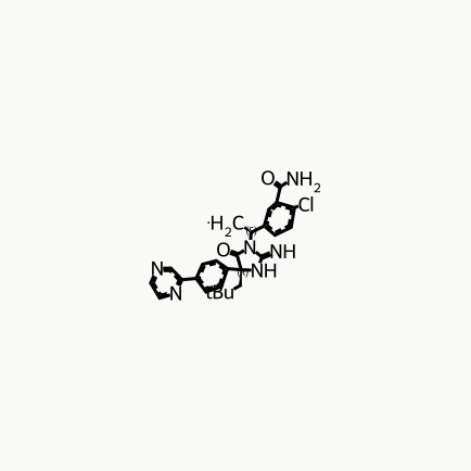 [CH2][C@@H](c1ccc(Cl)c(C(N)=O)c1)N1C(=N)N[C@](CC(C)(C)C)(c2ccc(-c3cnccn3)cc2)C1=O